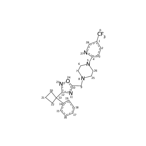 FC(F)(F)c1ccc(N2CCN(Cc3nc(C4(c5ccccc5)CCC4)no3)CC2)nc1